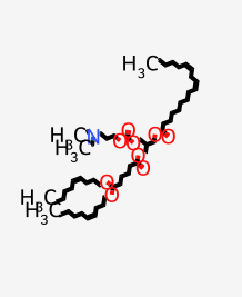 CCCCC/C=C\C/C=C\CCCCCCCC(=O)OCC(COC(=O)CCCCC(OCCC/C=C\CCCCC)OCCC/C=C\CCCCC)COC(=O)OCCCN(CC)CC